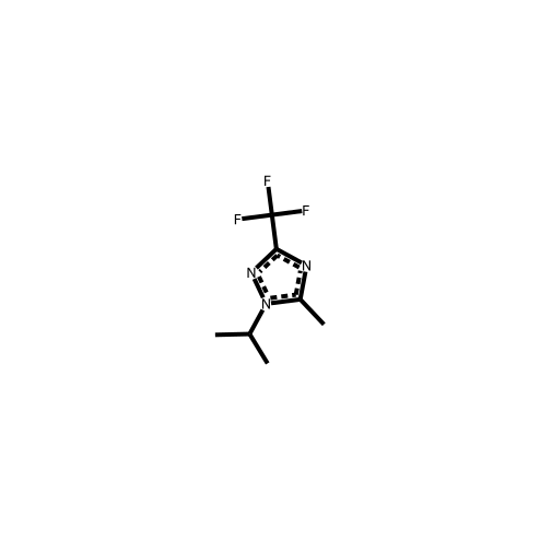 Cc1nc(C(F)(F)F)nn1C(C)C